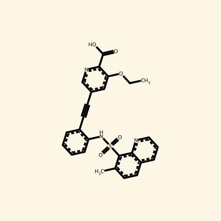 CCOc1cc(C#Cc2ccccc2NS(=O)(=O)c2c(C)ccc3cccnc23)cnc1C(=O)O